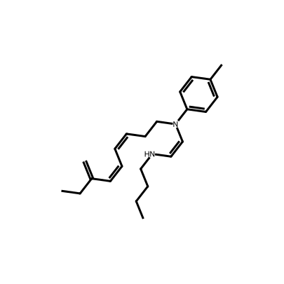 C=C(/C=C\C=C/CCN(/C=C\NCCCC)c1ccc(C)cc1)CC